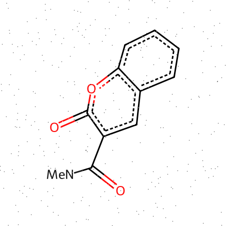 CNC(=O)c1cc2ccccc2oc1=O